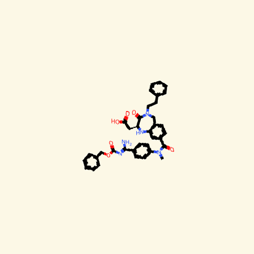 CN(C(=O)c1ccc2c(c1)N[C@@H](CC(=O)O)C(=O)N(CCc1ccccc1)C2)c1ccc(C(N)=NC(=O)OCc2ccccc2)cc1